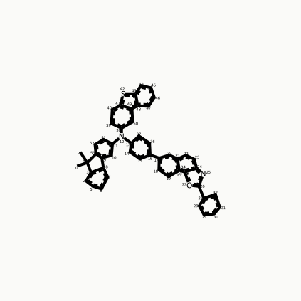 CC1(C)c2ccccc2-c2cc(N(c3ccc(-c4ccc5c(ccc6nc(-c7ccccc7)oc65)c4)cc3)c3ccc4sc5ccccc5c4c3)ccc21